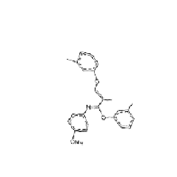 COc1ccc(N=C(Oc2cccc(C)c2)C(C)=COc2cccc(C)c2)cc1